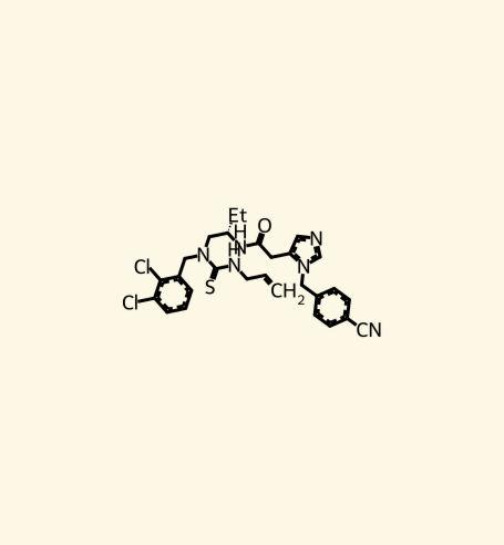 C=CCNC(=S)N(Cc1cccc(Cl)c1Cl)C[C@H](CC)NC(=O)Cc1cncn1Cc1ccc(C#N)cc1